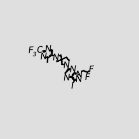 Cc1nc(C(F)(F)F)ncc1N1CC2(CCN(c3cnc4c(I)nn(CC(F)F)c4n3)C2)C1